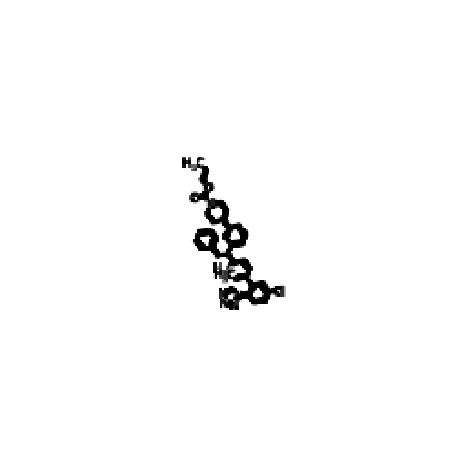 C=C(/C=C\C(=C/C)c1cc(Cl)ccc1-n1cnnn1)[C@@H](Cc1ccccc1)c1cccc(C2CCN(C(=O)OCCC)CC2)c1